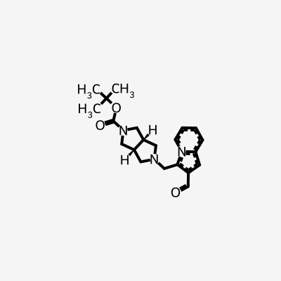 CC(C)(C)OC(=O)N1C[C@H]2CN(Cc3c(C=O)cc4ccccn34)C[C@H]2C1